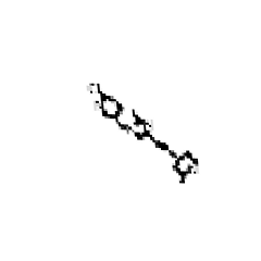 Cc1cc(C#Cc2cn(Cc3ccc(Cl)nc3)c(C)n2)ccn1